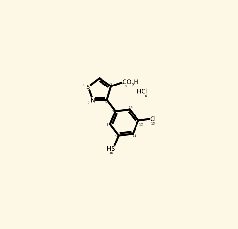 Cl.O=C(O)c1csnc1-c1cc(S)cc(Cl)c1